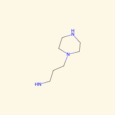 [NH]CCCN1CCNCC1